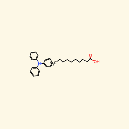 CCCCCCCCCC(=O)O.c1ccc(N(c2ccccc2)c2ccccc2)cc1